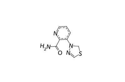 NC(=O)c1ncccc1N1CSC=N1